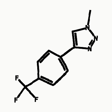 Cn1cc(-c2ccc(C(F)(F)F)cc2)nn1